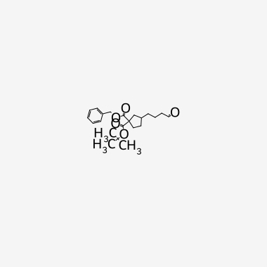 CC(C)(C)OC(=O)C1(C(=O)OCc2ccccc2)CCC(CCCC=O)C1